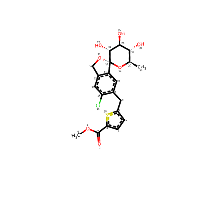 COC(=O)c1ccc(Cc2cc3c(cc2Cl)CO[C@]32O[C@H](C)[C@@H](O)[C@H](O)[C@H]2O)s1